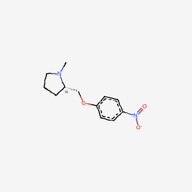 CN1CCC[C@H]1COc1ccc([N+](=O)[O-])cc1